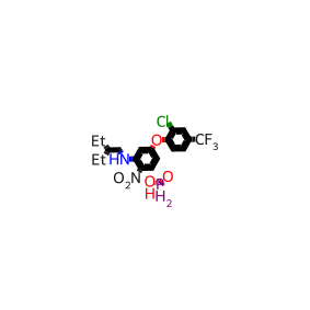 CCC(CC)CNc1cc(Oc2ccc(C(F)(F)F)cc2Cl)ccc1[N+](=O)[O-].O=[PH2]O